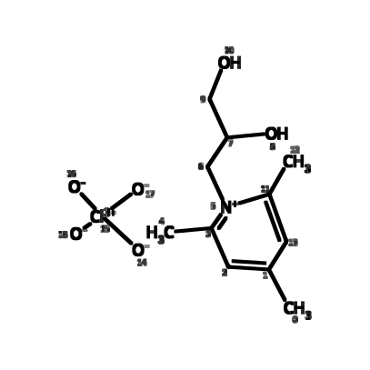 Cc1cc(C)[n+](CC(O)CO)c(C)c1.[O-][Cl+3]([O-])([O-])[O-]